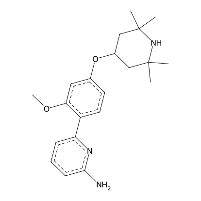 COc1cc(OC2CC(C)(C)NC(C)(C)C2)ccc1-c1cccc(N)n1